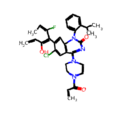 C=CC(=O)N1CCN(c2nc(=O)n(-c3ccccc3C(C)C)c3cc(C(/C(F)=C\C)=C(\O)C=C)c(Cl)cc23)CC1